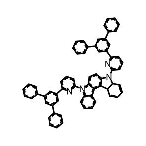 C1=CC2c3c(ccc4c3c3ccccc3n4-c3cccc(-c4cc(-c5ccccc5)cc(-c5ccccc5)c4)n3)N(c3cccc(-c4cc(-c5ccccc5)cc(-c5ccccc5)c4)n3)C2C=C1